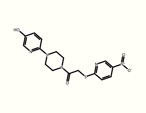 O=C(CSc1ccc([N+](=O)[O-])cn1)N1CCN(c2ccc(O)cn2)CC1